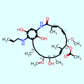 C=CCNc1c(O)cc2c(O)c1C[C@@H](C)C[C@H](OC)[C@H](O)[C@@H](C)/C=C(\C)[C@H](OC(C)=O)[C@@H](OC)/C=C\C=C(/C)C(=O)N2